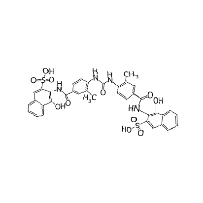 Cc1cc(C(=O)Nc2c(S(=O)(=O)O)cc3ccccc3c2O)ccc1NC(=O)Nc1ccc(C(=O)Nc2c(S(=O)(=O)O)cc3ccccc3c2O)cc1C